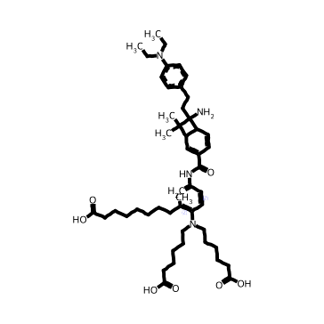 C=C(/C=C\C(=C(/C)CCCCCCCC(=O)O)N(CCCCCC(=O)O)CCCCCC(=O)O)NC(=O)C1=CC2C(C=C1)C(N)(CCc1ccc(N(CC)CC)cc1)C2(C)C